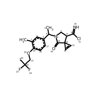 Cc1cc(C(C)N2CC(C(=N)Cl)C3(C=C3)C2=O)ccc1OCC(F)(F)I